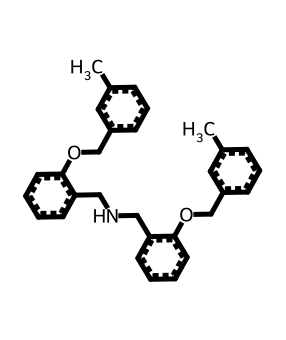 Cc1cccc(COc2ccccc2CNCc2ccccc2OCc2cccc(C)c2)c1